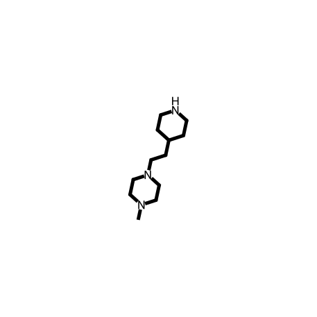 CN1CCN(CCC2CCNCC2)CC1